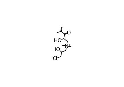 C=C(C)C(=O)C(O)C[N+](C)(C)CC(O)CCl